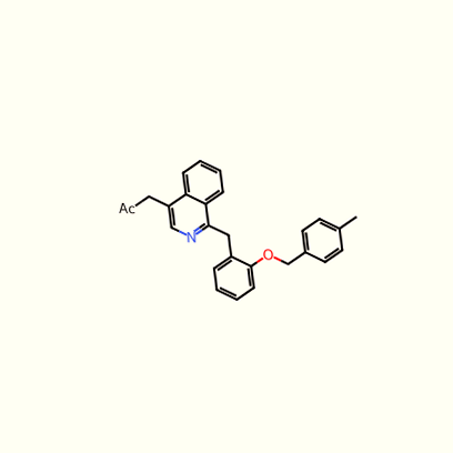 CC(=O)Cc1cnc(Cc2ccccc2OCc2ccc(C)cc2)c2ccccc12